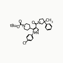 CC(C)(C)OC(=O)N1CCC(c2c(C(=O)N3CCC(C)(c4ccccc4)C3)cnn2-c2ccc(Cl)cc2)CC1